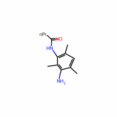 CCCC(=O)Nc1c(C)cc(C)c(N)c1C